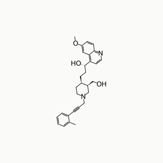 COc1ccc2nccc([C@@H](O)CC[C@@H]3CCN(CC#Cc4ccccc4C)C[C@@H]3CO)c2c1